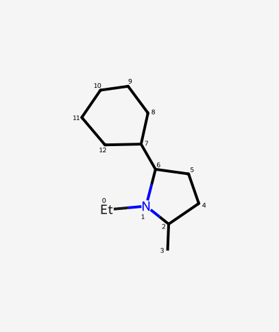 CCN1C(C)CCC1C1CCCCC1